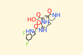 O=C(N[C@@H](CC1CC1)C(=O)N[C@@H](C[C@@H]1CCCNC1=O)C(=O)CO)c1cc2cc(F)cc(F)c2[nH]1